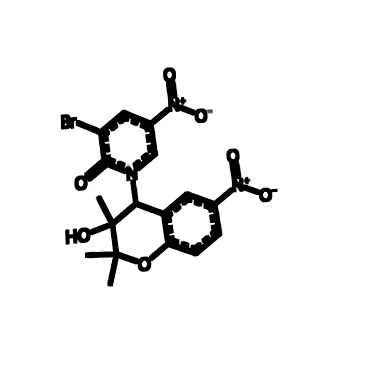 CC1(C)Oc2ccc([N+](=O)[O-])cc2C(n2cc([N+](=O)[O-])cc(Br)c2=O)C1(C)O